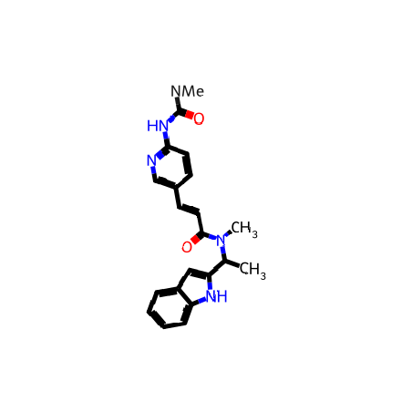 CNC(=O)Nc1ccc(/C=C/C(=O)N(C)C(C)c2cc3ccccc3[nH]2)cn1